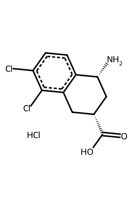 Cl.N[C@@H]1C[C@H](C(=O)O)Cc2c1ccc(Cl)c2Cl